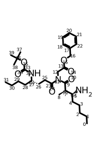 CCCCC[C@H](N)[C@@H](C)C(=O)N(CC(=O)OCc1ccccc1)C(=O)CC[C@H](CCCC)NC(=O)OC(C)(C)C